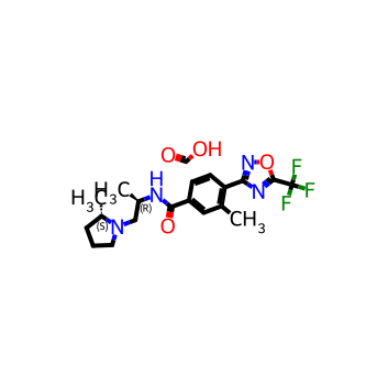 Cc1cc(C(=O)N[C@H](C)CN2CCC[C@@H]2C)ccc1-c1noc(C(F)(F)F)n1.O=CO